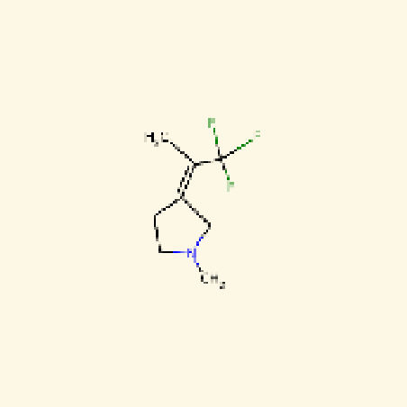 C/C(=C1\CCN(C)C1)C(F)(F)F